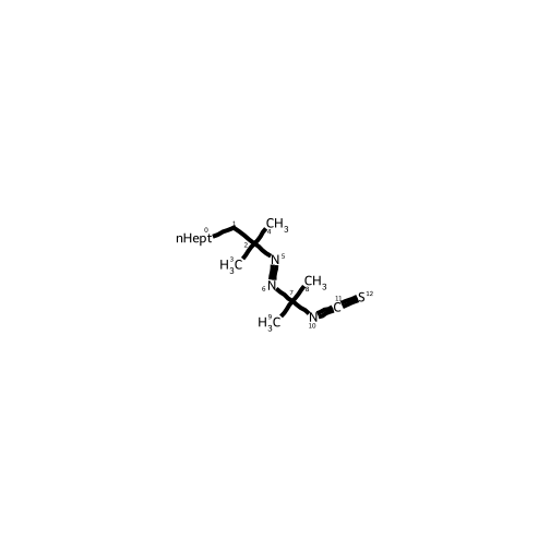 CCCCCCCCC(C)(C)N=NC(C)(C)N=C=S